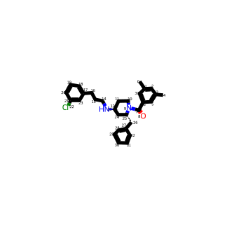 Cc1cc(C)cc(C(=O)N2CC[C@H](NCCCc3cccc(Cl)c3)C[C@H]2Cc2ccccc2)c1